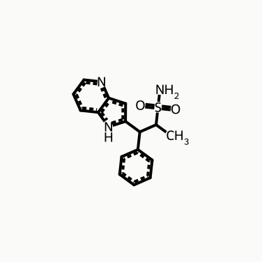 CC(C(c1ccccc1)c1cc2ncccc2[nH]1)S(N)(=O)=O